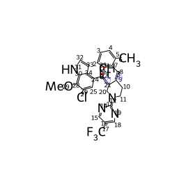 CCc1cccc(C)c1/C=C1/CCN(c2ncc(C(F)(F)F)cn2)C/C1=C(/C)c1cc(Cl)c(OC)c2[nH]ccc12